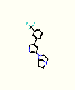 FC(F)(F)c1cccc(-c2cncc(N3CCN4CCC3C4)c2)c1